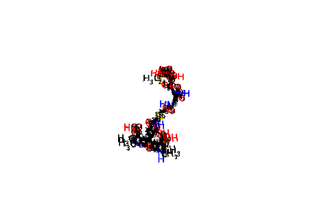 CSSCO[C@@H]1C[C@H](n2cc(C#CCNC(=O)OCCSSCCNC(=O)c3ccc(C4=c5cc6c(cc5Oc5cc7c(cc54)C(CS(=O)(=O)O)=CC(C)(C)N7)=NC(C)(C)C=C6CS(=O)(=O)O)cc3C(=O)O)c(=O)[nH]c2=O)O[C@@H]1COP(=O)(O)OP(=O)(O)OP(=O)(O)O